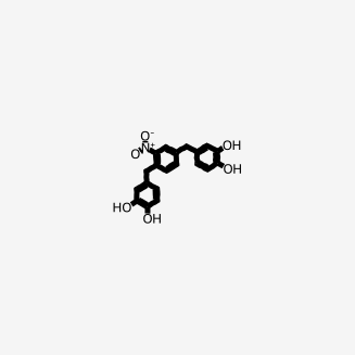 O=[N+]([O-])c1cc(Cc2ccc(O)c(O)c2)ccc1Cc1ccc(O)c(O)c1